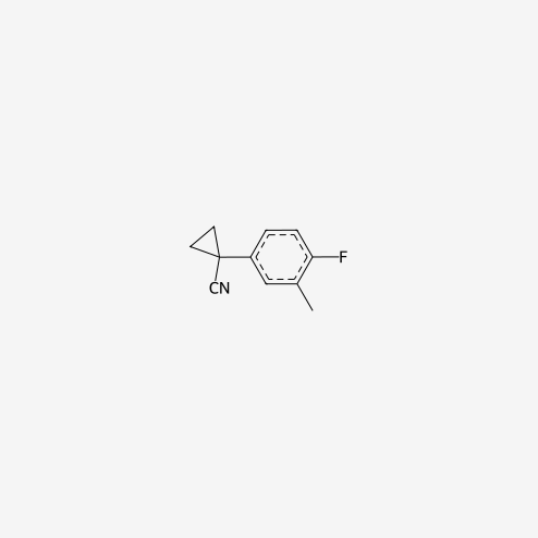 Cc1cc(C2(C#N)CC2)ccc1F